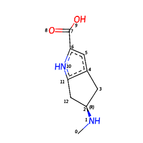 CN[C@@H]1Cc2cc(C(=O)O)[nH]c2C1